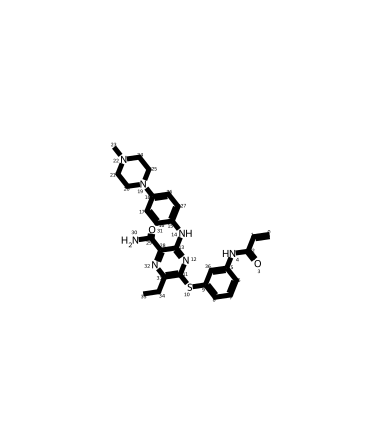 C=CC(=O)Nc1cccc(Sc2nc(Nc3ccc(N4CCN(C)CC4)cc3)c(C(N)=O)nc2CC)c1